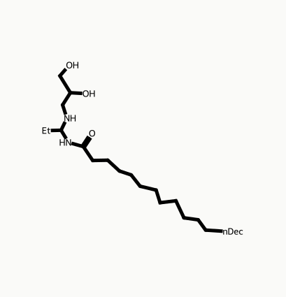 CCCCCCCCCCCCCCCCCCCCCC(=O)NC(CC)NCC(O)CO